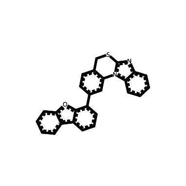 c1ccc2c(c1)nc1n2-c2cc(-c3cccc4c3oc3ccccc34)ccc2CS1